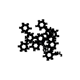 CN(/C(=N\Cc1cccc(-c2ccccc2)c1)c1ccccc1)c1c(-c2ccccc2N)ccc2c3ccccc3n(-c3ccc(-c4cc(-c5ccccc5)nc(-c5ccccc5)c4)cc3)c12